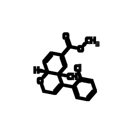 COC(=O)C1=CC2(C)C(c3ccccc3Cl)=CCO[C@@H]2C=C1